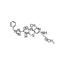 COCCNc1cc2c(cn1)N(C)C(=O)[C@@H](NC(=O)c1ncn(Cc3ccccc3)n1)CS2